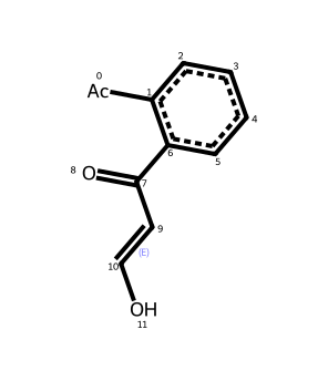 CC(=O)c1ccccc1C(=O)/C=C/O